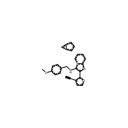 C#Cc1ccsc1-c1nc2ccccn2c1NCc1ccc(OC)cc1.c1cc2cc-2c1